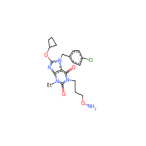 CCn1c(=O)n(CCCON)c(=O)c2c1nc(OC1CCC1)n2Cc1ccc(Cl)cc1